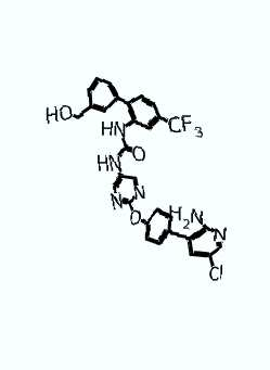 Nc1ncc(Cl)cc1-c1ccc(Oc2ncc(NC(=O)Nc3cc(C(F)(F)F)ccc3-c3cccc(CO)c3)cn2)cc1